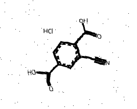 Cl.N#Cc1cc(C(=O)O)ccc1C(=O)O